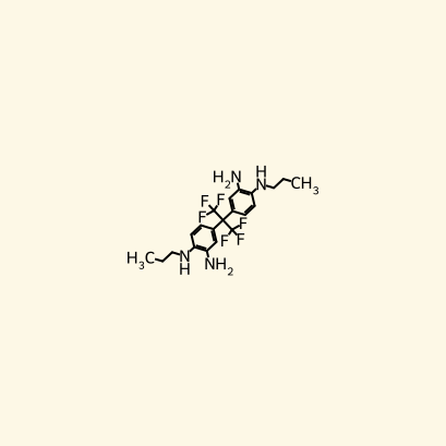 CCCNc1ccc(C(c2ccc(NCCC)c(N)c2)(C(F)(F)F)C(F)(F)F)cc1N